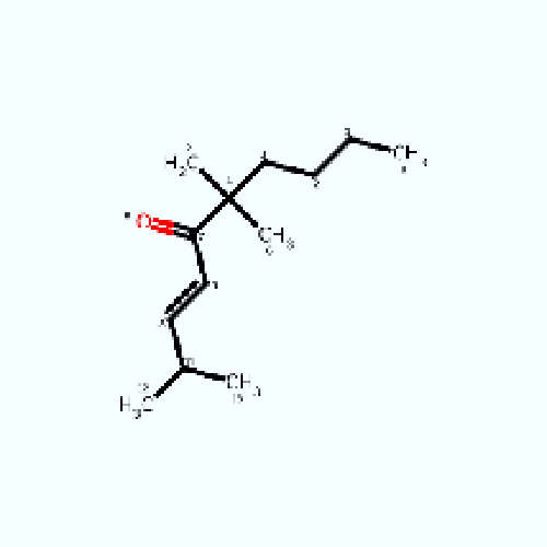 CCCCC(C)(C)C(=O)/C=C/C(C)C